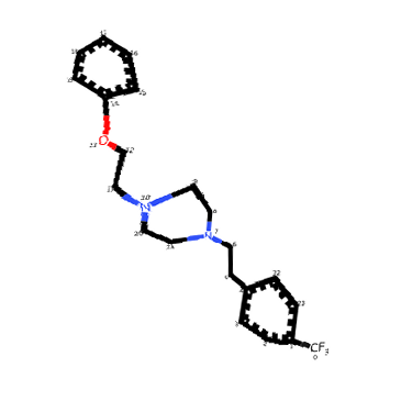 FC(F)(F)c1ccc(CCN2CCN(CCOc3ccccc3)CC2)cc1